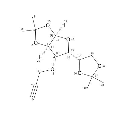 C#CCO[C@@H]1[C@H]2OC(C)(C)O[C@H]2O[C@@H]1C1COC(C)(C)O1